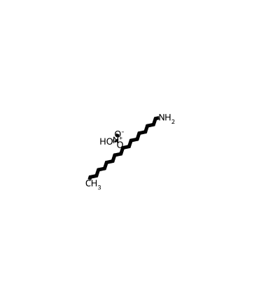 CCCCCCCCCCCCCCCCCCN.O=[N+]([O-])O